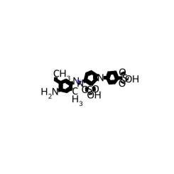 CCc1cc(/N=N/c2ccc3c(c2S(=O)(=O)O)N3c2ccc(S(=O)(=O)O)cc2)c(C)cc1N